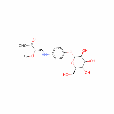 CCOC(=CNc1ccc(O[C@H]2O[C@H](CO)[C@@H](O)[C@H](O)[C@@H]2O)cc1)C(=O)C=O